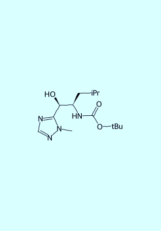 CC(C)C[C@@H](NC(=O)OC(C)(C)C)[C@H](O)c1ncnn1C